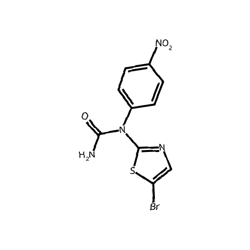 NC(=O)N(c1ccc([N+](=O)[O-])cc1)c1ncc(Br)s1